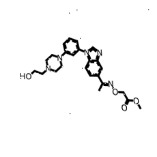 COC(=O)CON=C(C)c1ccc2c(c1)ncn2-c1cccc(N2CCN(CCO)CC2)c1